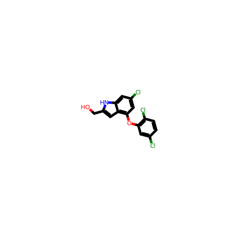 OCc1cc2c(Oc3cc(Cl)ccc3Cl)cc(Cl)cc2[nH]1